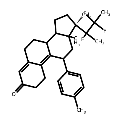 Cc1ccc(C2CC3(C)C(CC[C@@]3(C)C(C)(F)C(C)(F)F)C3CCC4=CC(=O)CCC4=C23)cc1